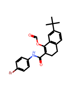 CC(C)(C)c1ccc2c(c1)C(OC=O)=C(C(=O)Nc1ccc(Br)cc1)CC2